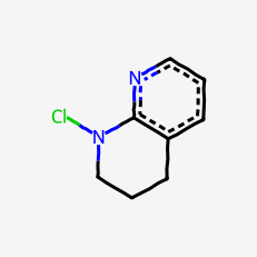 ClN1CCCc2cccnc21